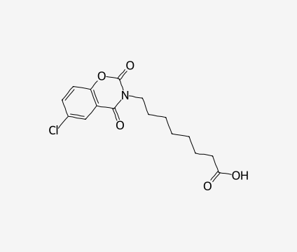 O=C(O)CCCCCCCn1c(=O)oc2ccc(Cl)cc2c1=O